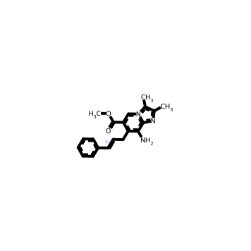 COC(=O)c1cn2c(C)c(C)nc2c(N)c1C/C=C/c1ccccc1